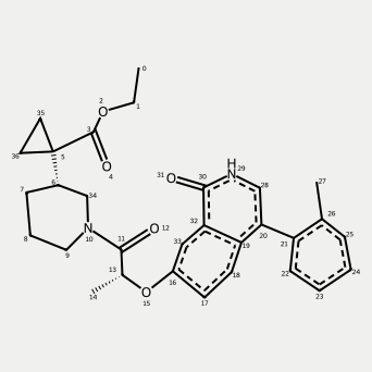 CCOC(=O)C1([C@H]2CCCN(C(=O)[C@@H](C)Oc3ccc4c(-c5ccccc5C)c[nH]c(=O)c4c3)C2)CC1